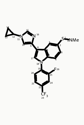 CNSc1ccc2c(c1)c(-c1cn(C3CC3)cn1)cn2-c1ccc(C(F)(F)F)cc1F